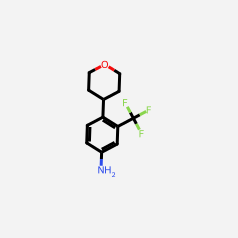 Nc1ccc(C2CCOCC2)c(C(F)(F)F)c1